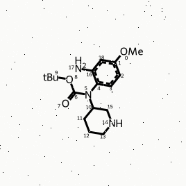 COc1ccc(N(C(=O)OC(C)(C)C)C2CCCNC2)c(N)c1